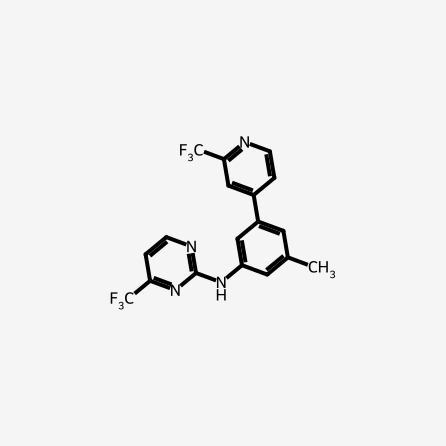 Cc1cc(Nc2nccc(C(F)(F)F)n2)cc(-c2ccnc(C(F)(F)F)c2)c1